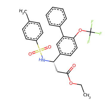 CCOC(=O)C[C@H](NS(=O)(=O)c1ccc(C)cc1)c1ccc(OC(F)(F)F)c(-c2ccccc2)c1